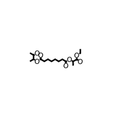 CCOC(=O)C(C)OC(=O)CCCCCCC(=O)OC(C)C(C)=O